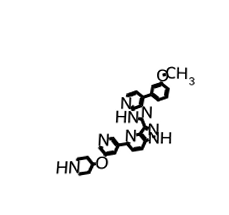 COc1cccc(-c2ccnc3[nH]c(-c4n[nH]c5ccc(-c6cncc(OC7CCNCC7)c6)nc45)nc23)c1